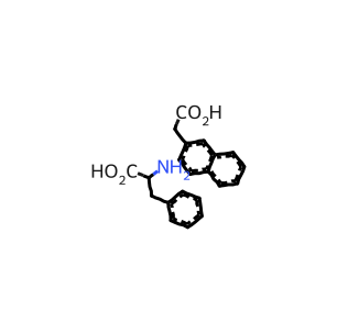 NC(Cc1ccccc1)C(=O)O.O=C(O)Cc1ccc2ccccc2c1